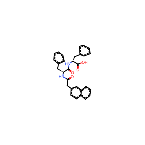 O=C(Cc1ccc2ccccc2c1)N[C@@H](Cc1ccccc1)C(=O)N[C@@H](Cc1ccccc1)C(=O)O